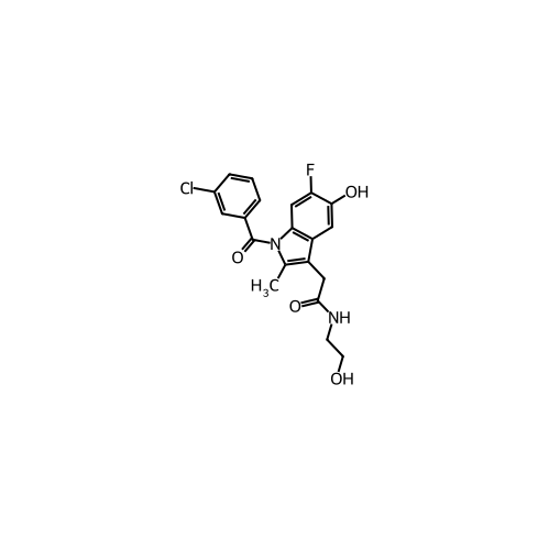 Cc1c(CC(=O)NCCO)c2cc(O)c(F)cc2n1C(=O)c1cccc(Cl)c1